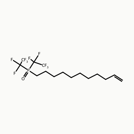 C=CCCCCCCCCCP(=O)(C(F)(F)C(F)(F)F)C(F)(F)C(F)(F)F